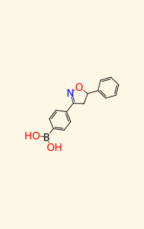 OB(O)c1ccc(C2=NOC(c3ccccc3)C2)cc1